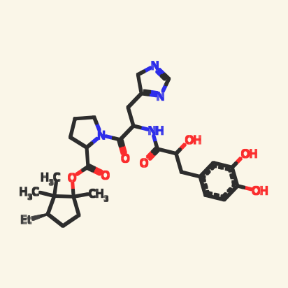 CC[C@@H]1CCC(C)(OC(=O)C2CCCN2C(=O)C(CC2=NC=NC2)NC(=O)C(O)Cc2ccc(O)c(O)c2)C1(C)C